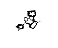 CN(c1ccsc1)C1CCCNC1c1ccccc1